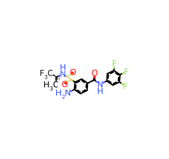 C[C@H](NS(=O)(=O)c1cc(C(=O)Nc2cc(F)c(F)c(F)c2)ccc1N)C(F)(F)F